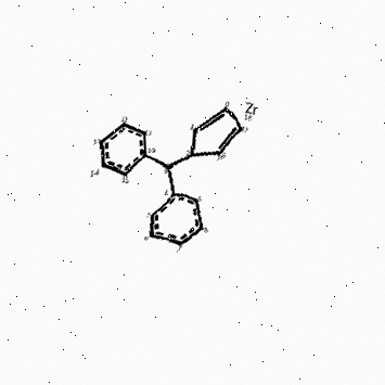 C1=CC([C](c2ccccc2)c2ccccc2)C=C1.[Zr]